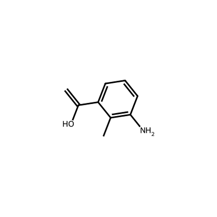 C=C(O)c1cccc(N)c1C